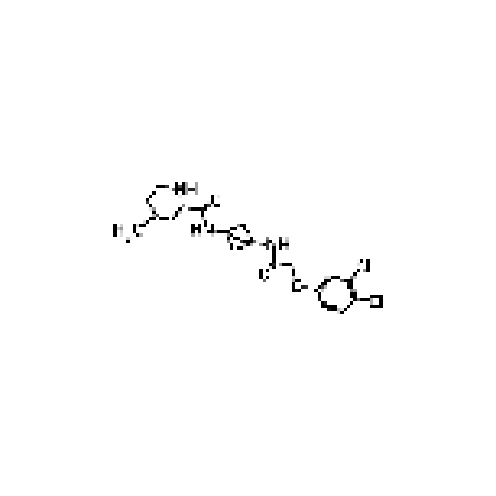 CC1CCNC(C(=O)NC23CC(NC(=O)COc4ccc(Cl)c(Cl)c4)(C2)C3)C1